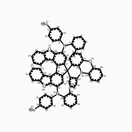 Cc1ccccc1N(c1ccc(C(C)(C)C)cc1)c1cc2c(c3c1oc1ccccc13)-c1c(cc(N(c3ccc(C(C)(C)C)cc3)c3ccccc3C)c3oc4ccccc4c13)C21c2ccccc2N2c3ccccc3Oc3cccc1c32